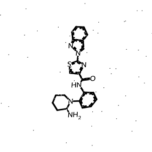 N[C@H]1CCCCN1c1ccccc1NC(=O)c1csc(-n2cc3ccccc3n2)n1